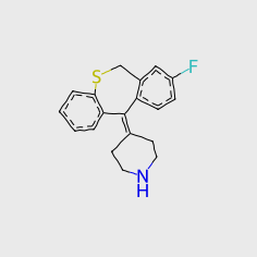 Fc1ccc2c(c1)CSc1ccccc1C2=C1CCNCC1